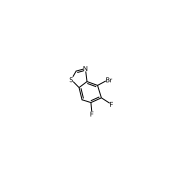 Fc1cc2scnc2c(Br)c1F